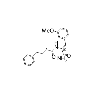 COc1cccc(C[C@H](NC(=O)[CH]CCc2ccccc2)C(N)=O)c1